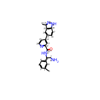 Cc1cccc(C(CN)NC(=O)c2cc(-c3ccc4[nH]nc(C)c4c3)ccn2)c1